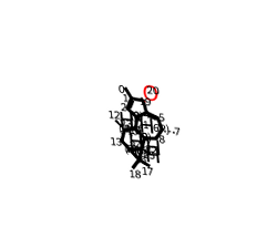 CC1=C[C@@H]2C(=C[C@H](C)C[C@@H]3[C@@H]2[C@H](C)C[C@@H]2[C@H]3C2(C)C)C1=O